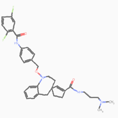 CN(C)CCCNC(=O)C1=CC2(CC1)CCN(OCc1ccc(NC(=O)c3cc(F)ccc3F)cc1)c1ccccc1C2